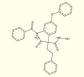 NC(=O)C(CCc1ccccc1)(C(=O)NO)c1ccc(Oc2ccccc2)cc1NC(=O)c1ccccc1